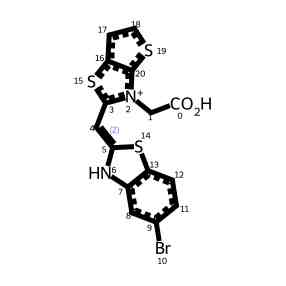 O=C(O)C[n+]1c(/C=C2/Nc3cc(Br)ccc3S2)sc2ccsc21